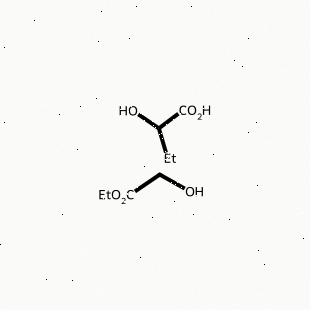 CCC(O)C(=O)O.CCOC(=O)CO